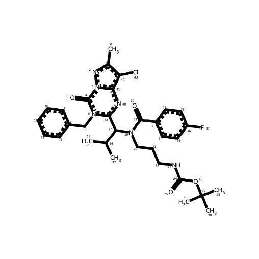 Cc1nn2c(=O)n(Cc3ccccc3)c(C(C(C)C)N(CCCNC(=O)OC(C)(C)C)C(=O)c3ccc(F)cc3)nc2c1Cl